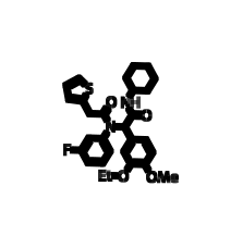 CCOc1cc(C(C(=O)NC2CCCCC2)N(C(=O)Cc2cccs2)c2cccc(F)c2)ccc1OC